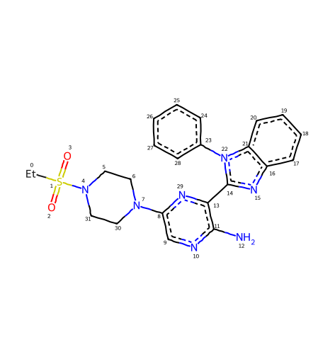 CCS(=O)(=O)N1CCN(c2cnc(N)c(-c3nc4ccccc4n3-c3ccccc3)n2)CC1